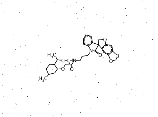 CC1CCC(C(C)C)C(OCC(=O)NCCCN2C(=O)C3(COc4cc5c(cc43)OCO5)c3ccccc32)C1